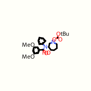 COc1cc(OC)cc(C(=O)N(c2ccccc2)[C@@H]2CN(OC(=O)OC(C)(C)C)CCC[C@H]2O)c1